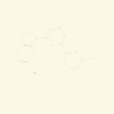 CNc1cccc(-c2ccnc(-c3cnc4cnc(C(F)F)cn34)n2)c1